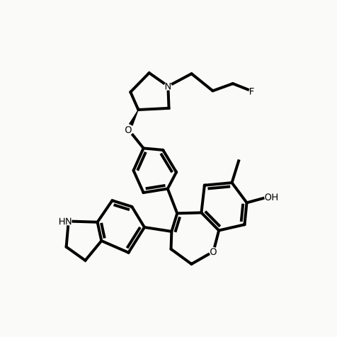 Cc1cc2c(cc1O)OCCC(c1ccc3c(c1)CCN3)=C2c1ccc(O[C@H]2CCN(CCCF)C2)cc1